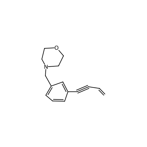 C=CC#Cc1cccc(CN2CCOCC2)c1